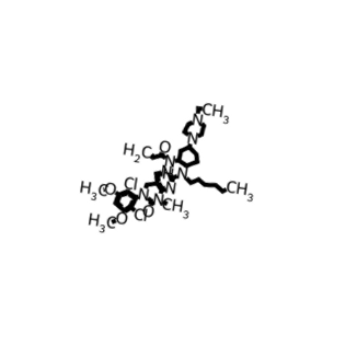 C=CC(=O)NC1CC(N2CCN(CC)CC2)CCC1N(CCCCCC)c1ncc2c(n1)N(C)C(=O)N(c1c(Cl)c(OC)cc(OC)c1Cl)C2